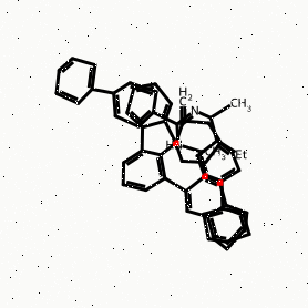 C=C1CC(CC)CCC12c1ccccc1-c1cccc(-c3cc4ccccc4cc3C(C)N/C(=N\C(C)c3ccc(-c4ccccc4)cc3)c3ccc(-c4ccccc4)cc3)c12